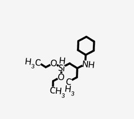 CCO[SiH](CC(CC)NC1CCCCC1)OCC